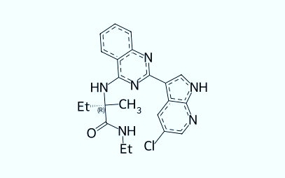 CCNC(=O)[C@@](C)(CC)Nc1nc(-c2c[nH]c3ncc(Cl)cc23)nc2ccccc12